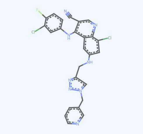 N#Cc1cnc2c(Cl)cc(NCc3cn(Cc4cccnc4)nn3)cc2c1Nc1ccc(F)c(Cl)c1